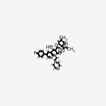 CNC(=O)C1(NC(=O)c2c(O)c3cc(-c4ccc(F)cc4)cnc3n(CCN3CCOCC3)c2=O)CCC(C)CC1